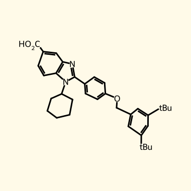 CC(C)(C)c1cc(COc2ccc(-c3nc4cc(C(=O)O)ccc4n3C3CCCCC3)cc2)cc(C(C)(C)C)c1